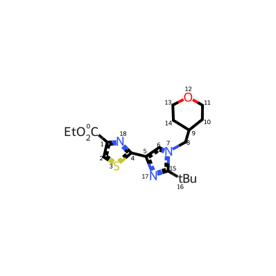 CCOC(=O)c1csc(-c2cn(CC3CCOCC3)c(C(C)(C)C)n2)n1